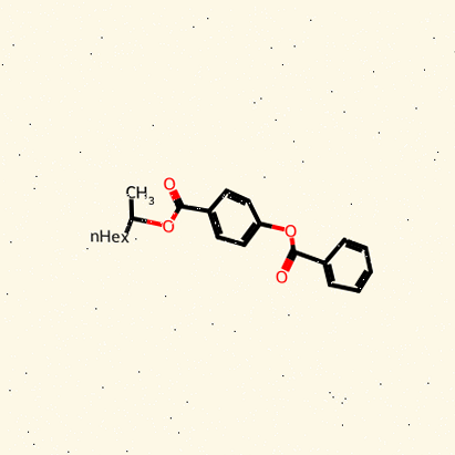 CCCCCCC(C)OC(=O)c1ccc(OC(=O)c2ccccc2)cc1